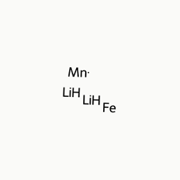 [Fe].[LiH].[LiH].[Mn]